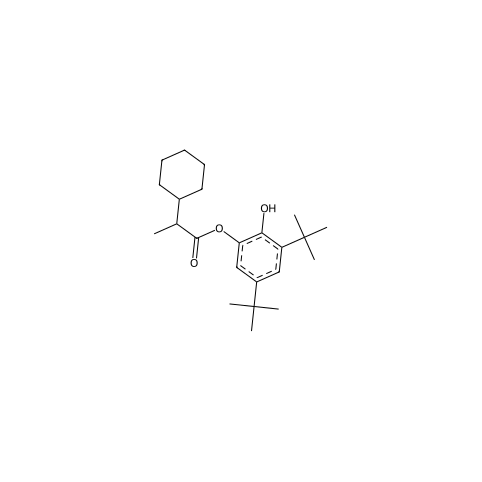 CC(C(=O)Oc1cc(C(C)(C)C)cc(C(C)(C)C)c1O)C1CCCCC1